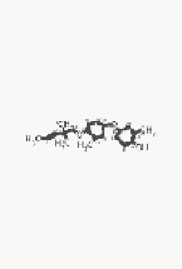 CC#CC(C)(C)COc1ccc(Oc2ccc(O)c(C)c2)cc1C